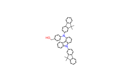 CC1(C)c2ccccc2-c2ccc(N(c3ccc(CO)cc3)c3cccc4c3c3ccccc3n4-c3ccc4c(c3)C(C)(C)c3ccccc3-4)cc21